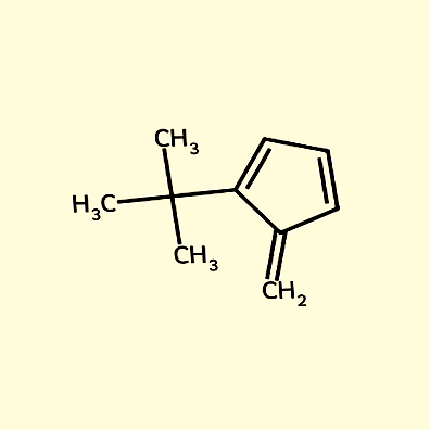 C=C1C=CC=C1C(C)(C)C